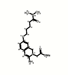 COC(=O)CN1Cc2cc(OCCCCC(=O)N(C)C)ccc2N=C1N